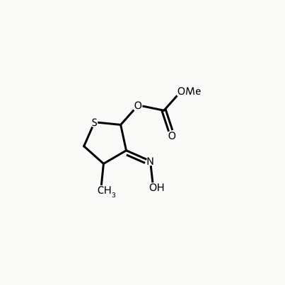 COC(=O)OC1SCC(C)C1=NO